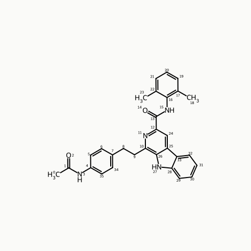 CC(=O)Nc1ccc(CCc2nc(C(=O)Nc3c(C)cccc3C)cc3c2[nH]c2ccccc23)cc1